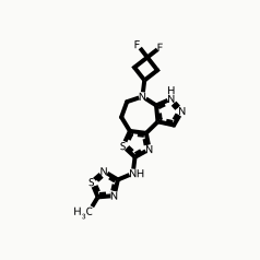 Cc1nc(Nc2nc3c(s2)CCN(C2CC(F)(F)C2)c2[nH]ncc2-3)ns1